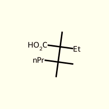 CCCC(C)(C)C(C)(CC)C(=O)O